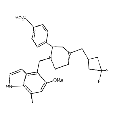 COc1cc(C)c2[nH]ccc2c1CN1CCN(CC2CC(F)(F)C2)CC1c1ccc(C(=O)O)cc1